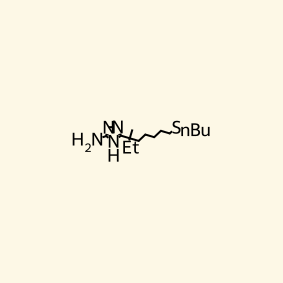 CCCCSCCCCCC(C)(CC)c1nnc(N)[nH]1